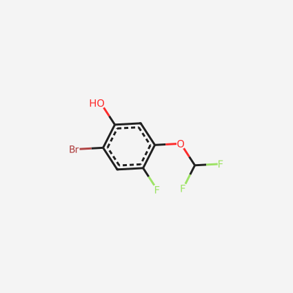 Oc1cc(OC(F)F)c(F)cc1Br